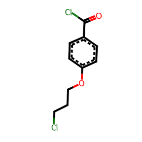 O=C(Cl)c1ccc(OCCCCl)cc1